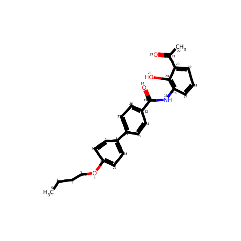 CCCCOc1ccc(-c2ccc(C(=O)Nc3cccc(C(C)=O)c3O)cc2)cc1